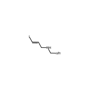 CCCCNCC=CI